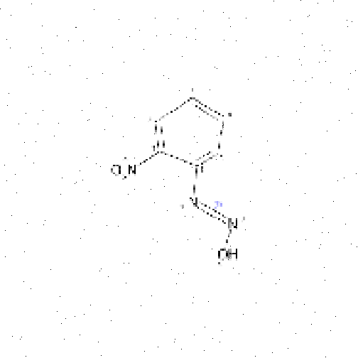 O=[N+]([O-])c1ccccc1/N=N/O